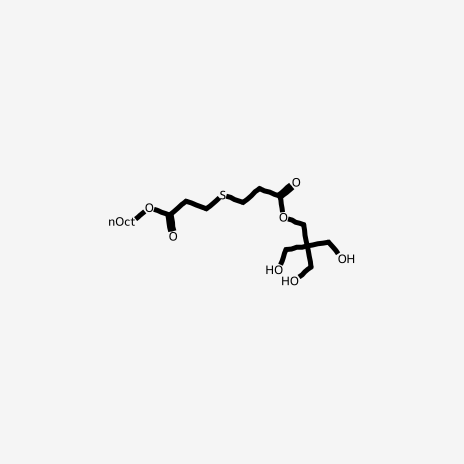 CCCCCCCCOC(=O)CCSCCC(=O)OCC(CO)(CO)CO